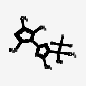 Cc1cc(C)n(-c2cc(C(C)(O)C(F)(F)F)n(C)n2)c1C